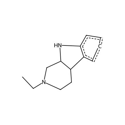 CCN1CCC2c3ccccc3NC2C1